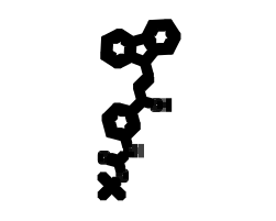 CC(C)(C)OC(=O)Nc1cccc(C(O)C=CC2c3ccccc3-c3ccccc32)c1